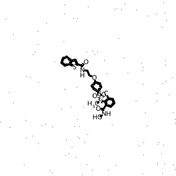 Cc1cccc(C(=O)NO)c1N(C)S(=O)(=O)c1ccc(OCCNC(=O)c2cc3ccccc3s2)cc1